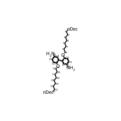 CCCCCCCCCCCCCCCCCCOc1ccc(N)cc1-c1cc(N)ccc1OCCCCCCCCCCCCCCCCCC